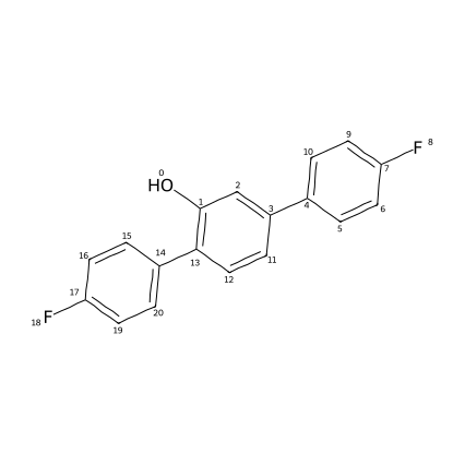 Oc1cc(-c2ccc(F)cc2)ccc1-c1ccc(F)cc1